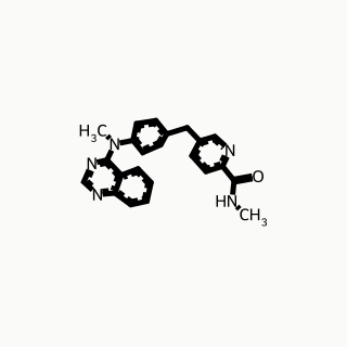 CNC(=O)c1ccc(Cc2ccc(N(C)c3ncnc4ccccc34)cc2)cn1